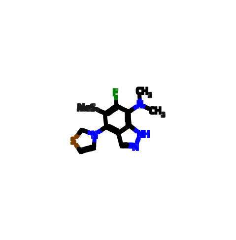 CSc1c(F)c(N(C)C)c2[nH]ncc2c1N1C=CSC1